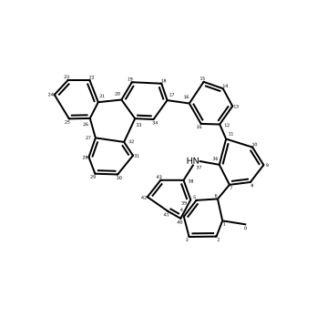 CC1C=CC=CC1c1cccc(-c2cccc(-c3ccc4c5ccccc5c5ccccc5c4c3)c2)c1Nc1ccccc1